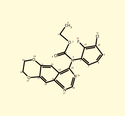 CCOC(=O)N(c1cccc(Cl)c1F)c1ncnc2cc3c(cc12)OCCO3